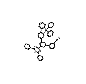 N#Cc1cccc(-c2cc(-c3ccc4c(c3)C(c3ccccc3)(c3ccccc3)c3ccccc3-4)cc(-c3nc(-c4ccccc4)nc(-c4ccccc4)n3)c2)c1